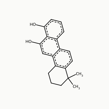 CC1(C)CCCc2c1ccc1c2cc(O)c2c(O)cccc21